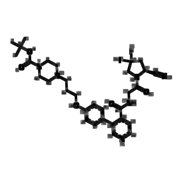 CC(C)(C)OC(=O)N1CCN(CCCOc2ccc(-c3cnccc3C(=O)NCC(=O)N3CC(F)(F)C[C@H]3C#N)cc2)CC1